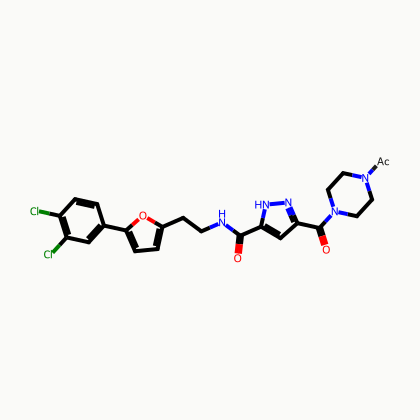 CC(=O)N1CCN(C(=O)c2cc(C(=O)NCCc3ccc(-c4ccc(Cl)c(Cl)c4)o3)[nH]n2)CC1